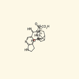 N=C(NC(=O)C(=O)O)c1cnc2c(c1N[C@H]1C3C[C@]4(O)CC3C[C@H]1C4)CCN2